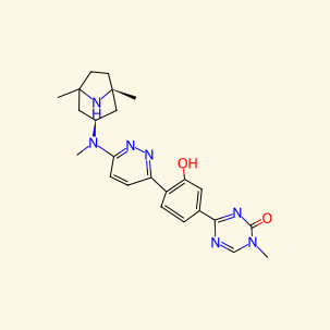 CN(c1ccc(-c2ccc(-c3ncn(C)c(=O)n3)cc2O)nn1)[C@H]1CC2(C)CC[C@](C)(C1)N2